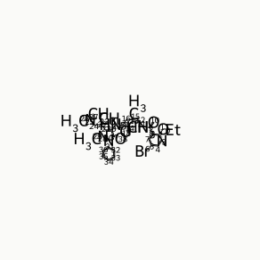 CCOc1ncc(Br)cc1C(=O)NCC(C)(C)CC(=O)Nc1c(C(C)CN(C)C)n(C)n(-c2ccccc2)c1=O